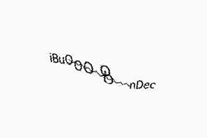 CCCCCCCCCCCCCCCCOC(=O)CCCOCCOCCOCC(C)C